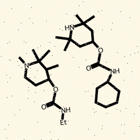 CC1(C)CC(OC(=O)NC2CCCCC2)CC(C)(C)N1.CCNC(=O)OC1CCN(C)C(C)(C)C1C